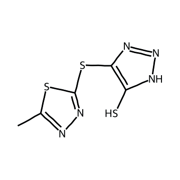 Cc1nnc(Sc2nn[nH]c2S)s1